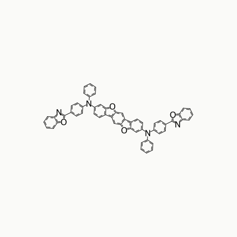 c1ccc(N(c2ccc(-c3nc4ccccc4o3)cc2)c2ccc3c(c2)oc2cc4c(cc23)oc2cc(N(c3ccccc3)c3ccc(-c5nc6ccccc6o5)cc3)ccc24)cc1